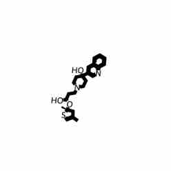 CC1=CS[C@](C)(OC(O)CCN2CCC(O)(c3cnc4ccccc4c3)CC2)C1